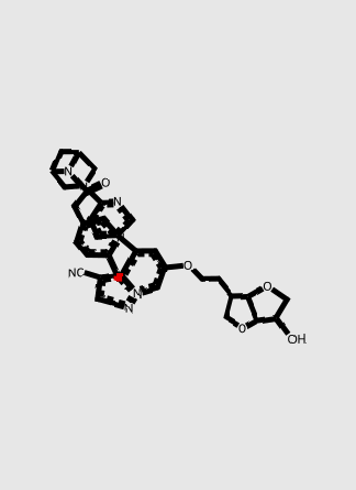 Cc1ccc(CC(=O)N2C3CC2CN(c2ccc(-c4cc(OCCC5COC6C(O)COC56)cn5ncc(C#N)c45)cn2)C3)cn1